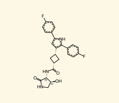 O=C1NC[C@H](O)[C@H]1NC(=O)[C@H]1C[C@@H](c2cc(-c3ccc(F)cc3)[nH]c2-c2ccc(F)cc2)C1